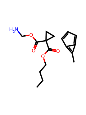 CCCCOC(=O)C1(C(=O)OCN)CC1.Cc1c2cccc1-2